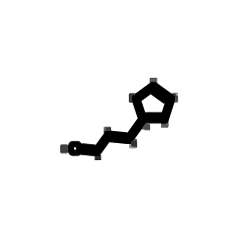 O=CC=CC1=CC=CC1